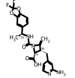 C=C1[C@H](Cc2ccnc(N)c2)[C@@H](C(=O)O)N1C(=O)N[C@@H](C)c1ccc2c(c1)OC(F)(F)O2